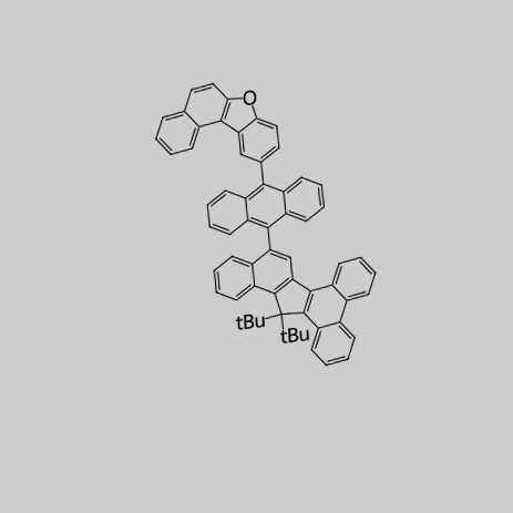 CC(C)(C)C1(C(C)(C)C)c2c(cc(-c3c4ccccc4c(-c4ccc5oc6ccc7ccccc7c6c5c4)c4ccccc34)c3ccccc23)-c2c1c1ccccc1c1ccccc21